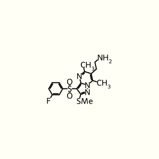 CSc1nn2c(C)c(CCN)c(C)nc2c1S(=O)(=O)c1cccc(F)c1